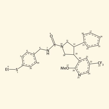 CCSc1ccc(CNC(=O)N2CC(c3ccccc3)C(c3cc(C(F)(F)F)cnc3OC)C2)cc1